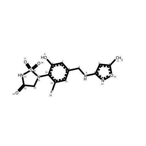 Cc1cc(NCc2cc(O)c(N3CC(=O)NS3(=O)=O)c(F)c2)no1